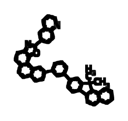 CC1(C)c2cc(-c3cccc(-c4ccc5ccc6ccc7nc(-c8ccc9ncccc9c8)oc7c6c5c4)c3)ccc2-c2ccc3ccccc3c21